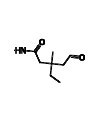 CCC(C)(CC=O)CC([NH])=O